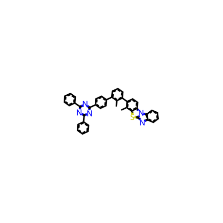 Cc1c(-c2ccc(-c3nc(-c4ccccc4)nc(-c4ccccc4)n3)cc2)cccc1-c1ccc2c(sc3nc4ccccc4n32)c1C